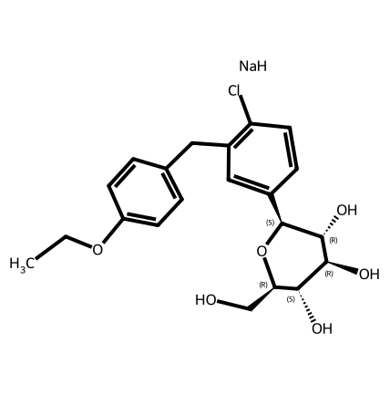 CCOc1ccc(Cc2cc([C@@H]3O[C@H](CO)[C@@H](O)[C@H](O)[C@H]3O)ccc2Cl)cc1.[NaH]